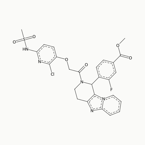 COC(=O)c1ccc(C2c3c(nc4ccccn34)CCN2C(=O)COc2ccc(NS(C)(=O)=O)nc2Cl)c(F)c1